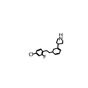 Fc1cc(Cl)ccc1CCC1C=CC=C(C2CCNCC2)C1